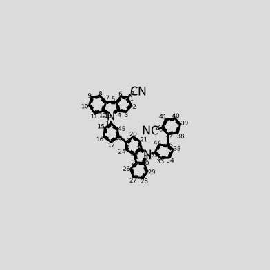 N#Cc1ccc2c(c1)c1ccccc1n2-c1cccc(-c2ccc3c(c2)c2ccccc2n3-c2cccc(-c3ccccc3C#N)c2)c1